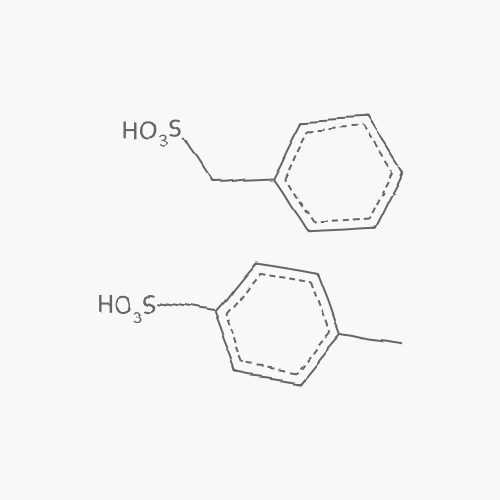 Cc1ccc(S(=O)(=O)O)cc1.O=S(=O)(O)Cc1ccccc1